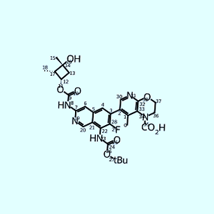 Cc1c(-c2cc3cc(NC(=O)O[C@H]4C[C@@](C)(O)[C@H]4C)ncc3c(NC(=O)OC(C)(C)C)c2F)cnc2c1N(C(=O)O)CCO2